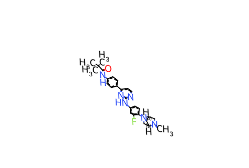 CN1C[C@@H]2C[C@H]1CN2c1ccc(Nc2nccc(-c3ccc(NC(=O)C(C)(C)C)cc3)n2)cc1F